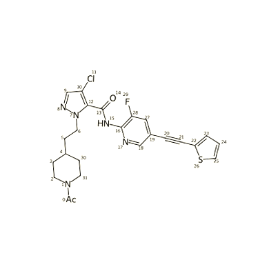 CC(=O)N1CCC(CCn2ncc(Cl)c2C(=O)Nc2ncc(C#Cc3cccs3)cc2F)CC1